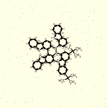 CC(C)(C)c1ccc2c(c1)c1cc(C(C)(C)C)cc3c1n2-c1cc2c(oc4ccccc42)c2c1B3N(c1cccc3c1sc1ccccc13)c1ccc3c(sc4ccccc43)c1-2